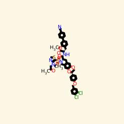 COC(=O)[C@H](Cc1ccc(-c2ccc(C#N)cc2)cc1)NC(=O)C1Cc2cc3c(cc2CN1S(=O)(=O)c1scnc1N(C)CC(C)=O)O[C@@H](c1ccc(OCc2ccc(Cl)c(Cl)c2)cc1)CO3